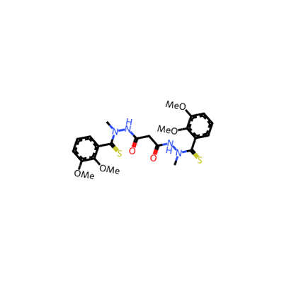 COc1cccc(C(=S)N(C)NC(=O)CC(=O)NN(C)C(=S)c2cccc(OC)c2OC)c1OC